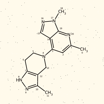 Cc1cc(N2CCc3[nH]nc(C)c3C2)c2cnn(C)c2n1